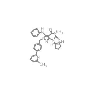 Cc1cccc(-c2ccc(Cn3nc4c(c3Nc3ccccc3)C(=O)N(C)C3=N[C@@H]5CCC[C@@H]5N34)cc2)n1